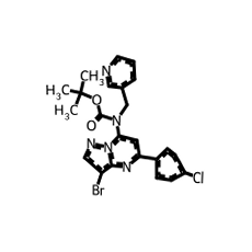 CC(C)(C)OC(=O)N(Cc1cccnc1)c1cc(-c2ccc(Cl)cc2)nc2c(Br)cnn12